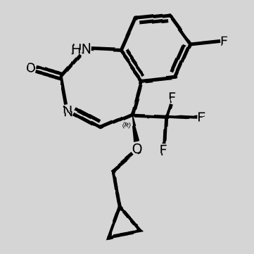 O=C1N=C[C@@](OCC2CC2)(C(F)(F)F)c2cc(F)ccc2N1